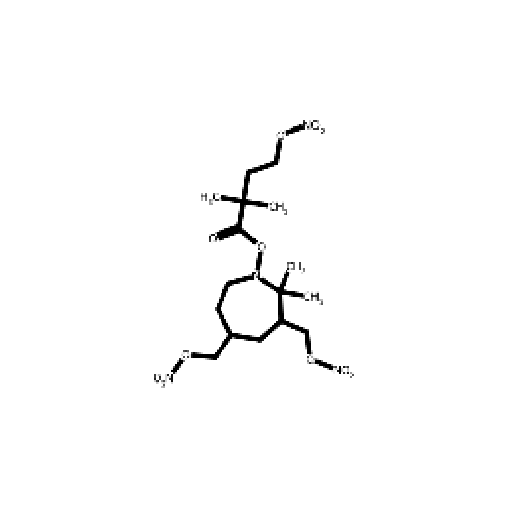 CC(C)(CCO[N+](=O)[O-])C(=O)ON1CCC(CO[N+](=O)[O-])CC(CO[N+](=O)[O-])C1(C)C